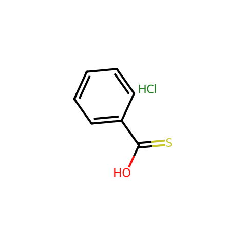 Cl.OC(=S)c1ccccc1